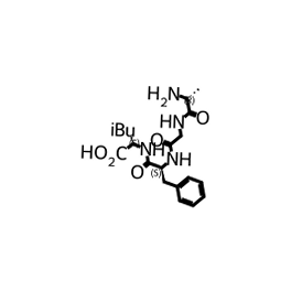 CCC(C)[C@H](NC(=O)[C@H](Cc1ccccc1)NC(=O)CNC(=O)[C@@H](C)N)C(=O)O